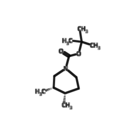 C[C@@H]1CN(C(=O)OC(C)(C)C)CC[C@@H]1C